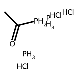 CC(=O)P.Cl.Cl.Cl.P.P